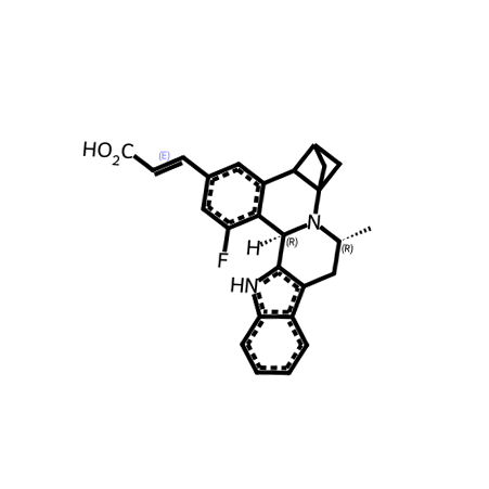 C[C@@H]1Cc2c([nH]c3ccccc23)[C@H]2c3c(F)cc(/C=C/C(=O)O)cc3C3C4CC3(C4)N21